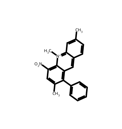 Cc1ccc2cc3c(-c4ccccc4)c(C)cc([N+](=O)[O-])c3[n+](C)c2c1